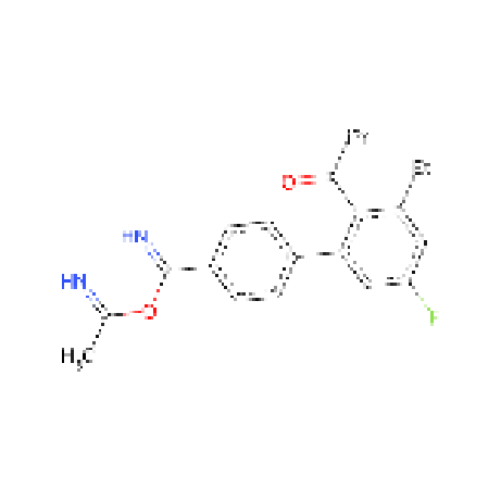 CCc1cc(F)cc(-c2ccc(C(=N)OC(C)=N)cc2)c1C(=O)C(C)C